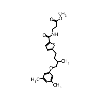 COC(=O)CCNC(=O)c1ccc(CCC(C)COc2cc(C)cc(C)c2)s1